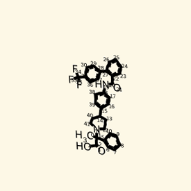 CC(C(=O)O)(c1ccccc1)N1CCC(c2ccc(NC(=O)c3ccccc3-c3ccc(C(F)(F)F)cc3)cc2)CC1